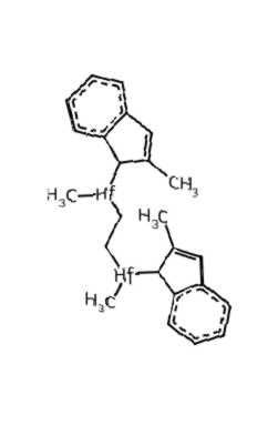 CC1=Cc2ccccc2[CH]1[Hf]([CH3])[CH2][CH2][Hf]([CH3])[CH]1C(C)=Cc2ccccc21